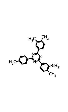 Cc1ccc(-c2nc(-c3ccc(C)c(C)c3)nc(-c3ccc(C)c(C)c3)n2)cc1